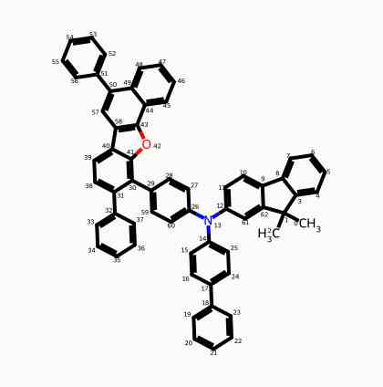 CC1(C)c2ccccc2-c2ccc(N(c3ccc(-c4ccccc4)cc3)c3ccc(-c4c(-c5ccccc5)ccc5c4oc4c6ccccc6c(-c6ccccc6)cc54)cc3)cc21